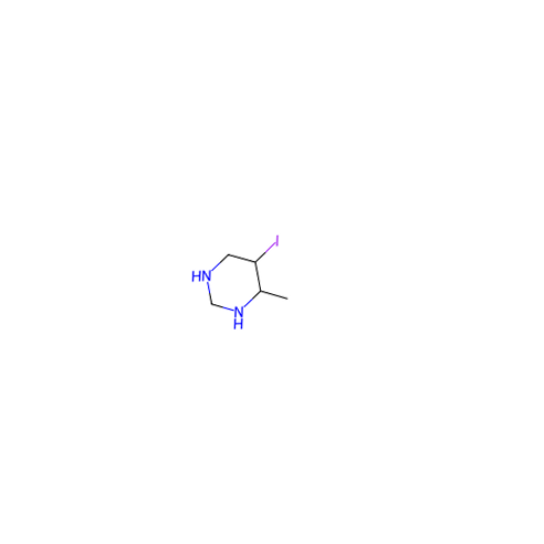 CC1NCNCC1I